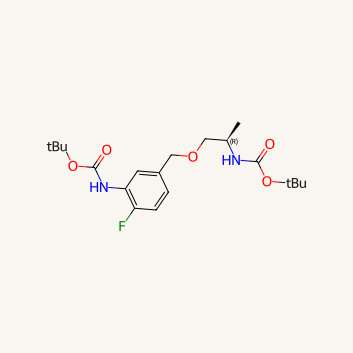 C[C@H](COCc1ccc(F)c(NC(=O)OC(C)(C)C)c1)NC(=O)OC(C)(C)C